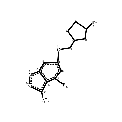 CC(C)C1CCC(COc2cc(F)c3c(N)[nH]nc3c2)C1